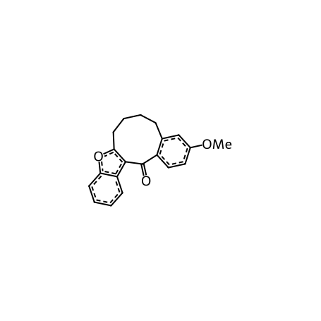 COc1ccc2c(c1)CCCCc1oc3ccccc3c1C2=O